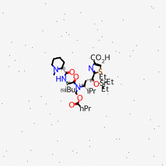 CCCC(=O)OCN(C(=O)[C@@H](NC(=O)[C@H]1CCCCN1C)[C@@H](C)CC)[C@H](C[C@@H](O[Si](CC)(CC)CC)c1nc(C(=O)O)cs1)C(C)C